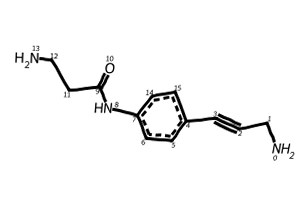 NCC#Cc1ccc(NC(=O)CCN)cc1